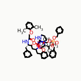 Cc1cccc(C)c1OCC(=O)N[C@@H](Cc1ccccc1)C(CC(Cc1ccccc1)NC(=O)[C@H](C(C)C)N1CCCNC1=O)OC(=O)CC(C)(C)COP(=O)(OCc1ccccc1)OCc1ccccc1